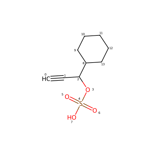 C#CC(OS(=O)(=O)O)C1CCCCC1